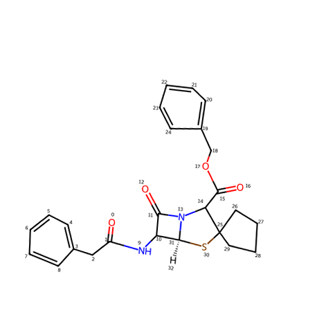 O=C(Cc1ccccc1)NC1C(=O)N2C(C(=O)OCc3ccccc3)C3(CCCC3)S[C@@H]12